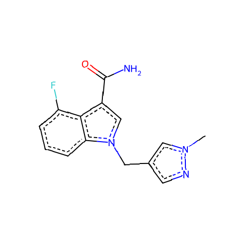 Cn1cc(Cn2cc(C(N)=O)c3c(F)cccc32)cn1